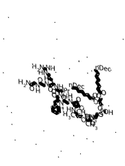 CCCCCCCCCCCCCCCCCC(=O)OCC(COP(O)OCCNC(=O)C(C)(C)OCCC(C)(C)Nc1c(NCC(=O)NC(Cc2ccccc2)C(=O)NC(C(=O)N[C@@H](CCCNC(=N)N)C(=O)NCC(=O)NCC(N)=O)C(C)C)c(=O)c1=O)OC(=O)CCCCCCCCCCCCCCCCC